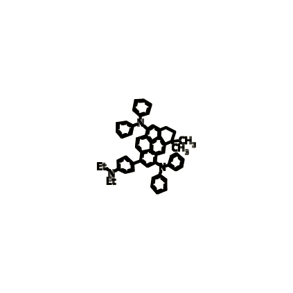 CCN(CC)c1ccc(-c2cc(N(c3ccccc3)c3ccccc3)c3cc4c5c(cc(N(c6ccccc6)c6ccccc6)c6ccc2c3c65)CCC4(C)C)cc1